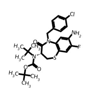 CC(C)(C)OC(=O)N([C@H]1CSc2cc(F)c(N)cc2N(Cc2ccc(Cl)cc2)C1=O)C(C)(C)C